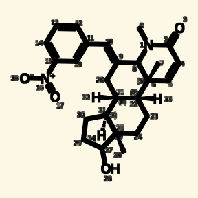 CN1C(=O)C=C[C@@]2(C)C1C(=Cc1cccc([N+](=O)[O-])c1)C[C@@H]1[C@H]2CC[C@]2(C)C(O)CC[C@@H]12